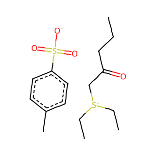 CCCC(=O)C[S+](CC)CC.Cc1ccc(S(=O)(=O)[O-])cc1